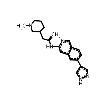 C=C(CC1CCCN(C)C1)Nc1cc2cc(-c3cn[nH]c3)ccc2cn1